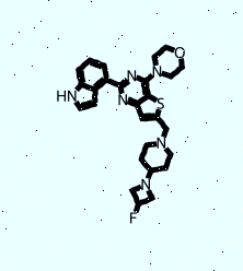 FC1CN(C2CCN(Cc3cc4nc(-c5cccc6[nH]ccc56)nc(N5CCOCC5)c4s3)CC2)C1